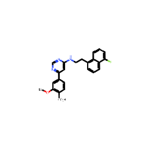 CCOc1cc(-c2cc(NCCc3cccc4c(F)cccc34)ncn2)ccc1C(=O)O